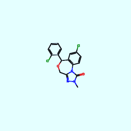 Cn1nc2n(c1=O)-c1ccc(Cl)cc1C(c1ccccc1Cl)OC2